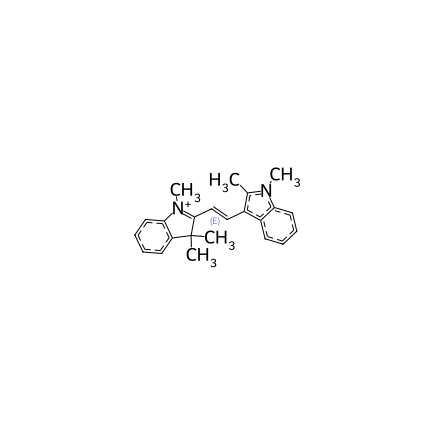 Cc1c(/C=C/C2=[N+](C)c3ccccc3C2(C)C)c2ccccc2n1C